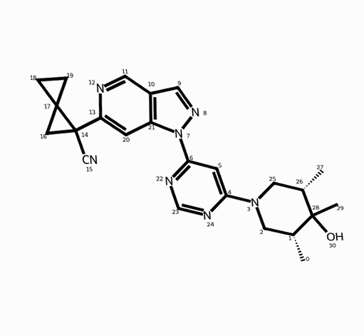 C[C@@H]1CN(c2cc(-n3ncc4cnc(C5(C#N)CC56CC6)cc43)ncn2)C[C@H](C)C1(C)O